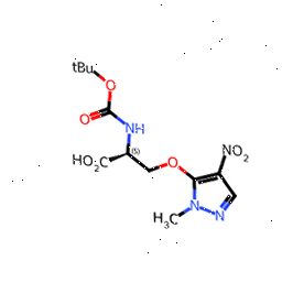 Cn1ncc([N+](=O)[O-])c1OC[C@H](NC(=O)OC(C)(C)C)C(=O)O